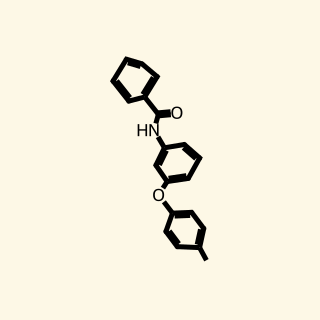 Cc1ccc(Oc2cccc(NC(=O)c3ccccc3)c2)cc1